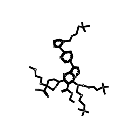 C=C(OCC)c1c(C2CCC(OCCOC)(C(=O)O)CC2)nc2c(-c3ccc(-c4nccn4COCC[Si](C)(C)C)nc3)cnn2c1N(COCC[Si](C)(C)C)COCC[Si](C)(C)C